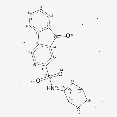 O=C1c2ccccc2-c2ccc(S(=O)(=O)NC3CC4CCC3C4)cc21